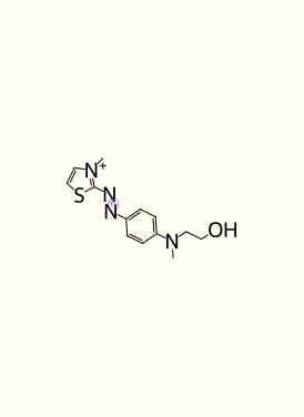 CN(CCO)c1ccc(/N=N/c2scc[n+]2C)cc1